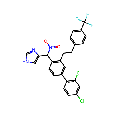 O=[N+]([O-])C(c1c[nH]cn1)c1ccc(-c2ccc(Cl)cc2Cl)cc1CCc1ccc(C(F)(F)F)cc1